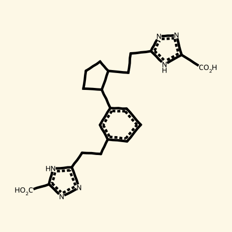 O=C(O)c1nnc(CCc2cccc(C3CCCC3CCc3nnc(C(=O)O)[nH]3)c2)[nH]1